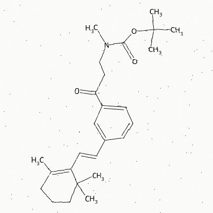 CC1=C(C=Cc2cccc(C(=O)CCN(C)C(=O)OC(C)(C)C)c2)C(C)(C)CCC1